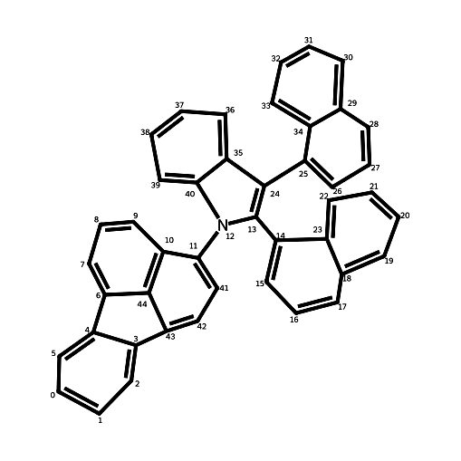 c1ccc2c(c1)-c1cccc3c(-n4c(-c5cccc6ccccc56)c(-c5cccc6ccccc56)c5ccccc54)ccc-2c13